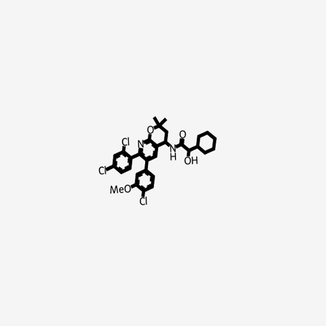 COc1cc(-c2cc3c(nc2-c2ccc(Cl)cc2Cl)OC(C)(C)CC3NC(=O)C(O)C2CCCCC2)ccc1Cl